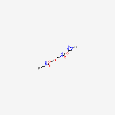 CC(C)CCNC(=O)OCCOCCNC(=O)COc1cn(C(C)C)nn1